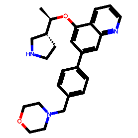 C[C@@H](Oc1cc(-c2ccc(CN3CCOCC3)cc2)cc2ncccc12)[C@@H]1CCNC1